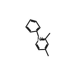 Cc1cc[n+](-c2ccccc2)c(C)c1